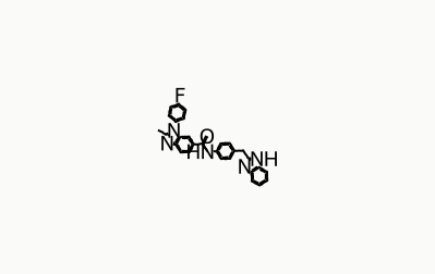 Cc1nc2ccc(C(=O)Nc3ccc(Cc4nc5ccccc5[nH]4)cc3)cc2n1-c1ccc(F)cc1